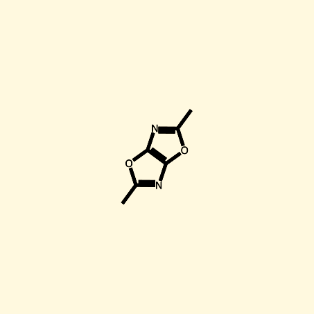 Cc1nc2oc(C)nc2o1